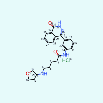 Cl.O=C(CCCCN[C@H]1CCOC1)Nc1cccc(-c2n[nH]c(=O)c3ccccc23)c1